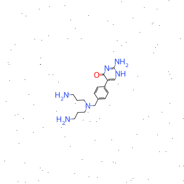 NCCCN(CCCN)Cc1ccc(-c2c[nH]c(N)nc2=O)cc1